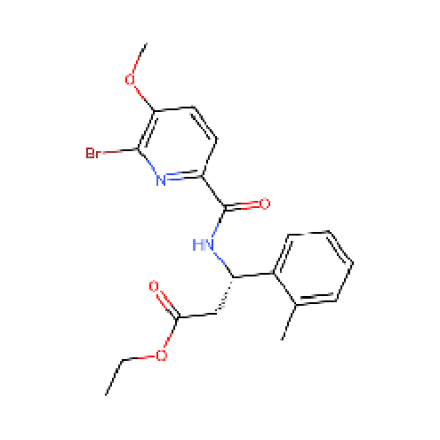 CCOC(=O)C[C@H](NC(=O)c1ccc(OC)c(Br)n1)c1ccccc1C